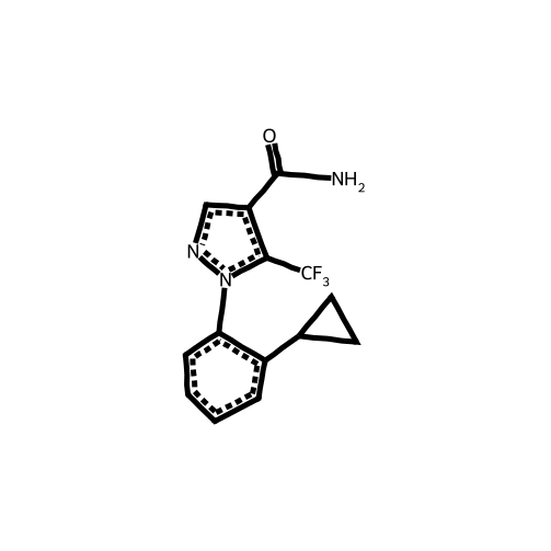 NC(=O)c1cnn(-c2ccccc2C2CC2)c1C(F)(F)F